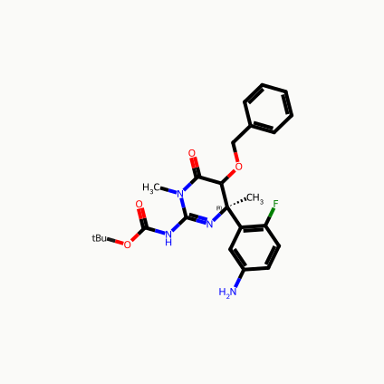 CN1C(=O)C(OCc2ccccc2)[C@@](C)(c2cc(N)ccc2F)N=C1NC(=O)OC(C)(C)C